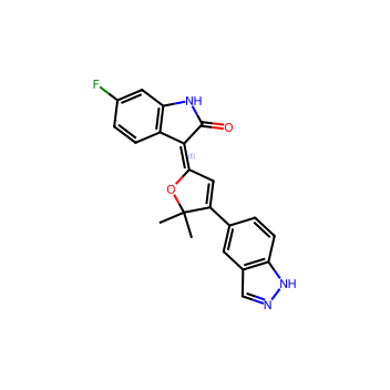 CC1(C)O/C(=C2/C(=O)Nc3cc(F)ccc32)C=C1c1ccc2[nH]ncc2c1